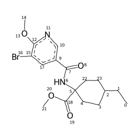 CCC1CCC(NC(=O)c2cnc(OC)c(Br)c2)(C(=O)OC)CC1